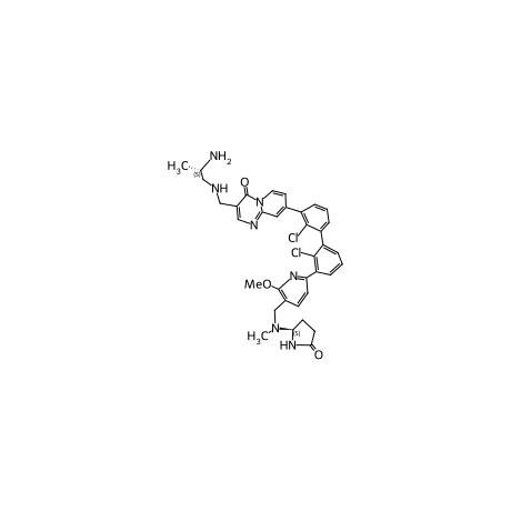 COc1nc(-c2cccc(-c3cccc(-c4ccn5c(=O)c(CNC[C@H](C)N)cnc5c4)c3Cl)c2Cl)ccc1CN(C)[C@H]1CCC(=O)N1